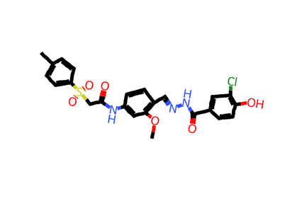 COc1cc(NC(=O)CS(=O)(=O)c2ccc(C)cc2)ccc1/C=N/NC(=O)c1ccc(O)c(Cl)c1